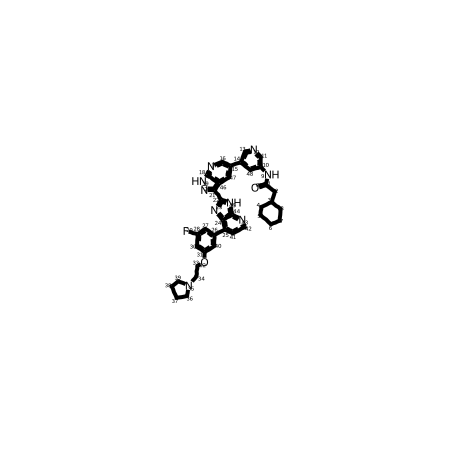 O=C(CC1CCCCC1)Nc1cncc(-c2cnc3[nH]nc(-c4nc5c(-c6cc(F)cc(OCCN7CCCC7)c6)ccnc5[nH]4)c3c2)c1